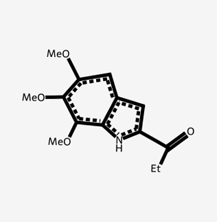 CCC(=O)c1cc2cc(OC)c(OC)c(OC)c2[nH]1